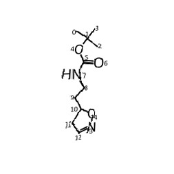 CC(C)(C)OC(=O)NCCC1CC=NO1